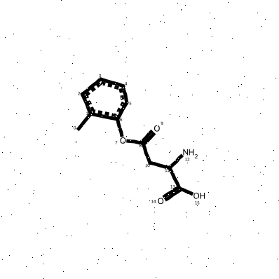 Cc1ccccc1OC(=O)CC(N)C(=O)O